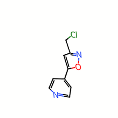 ClCc1cc(-c2ccncc2)on1